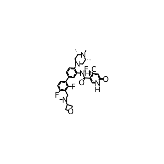 C[C@@H]1CN(c2ccc(-c3ccc(F)c(CN(C)C4COC4)c3F)cc2NC(=O)c2c[nH]c(=O)cc2C(F)(F)F)C[C@H](C)N1C